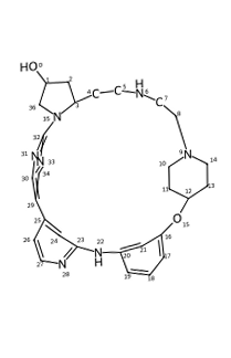 OC1CC2CCNCCN3CCC(CC3)Oc3cccc(c3)Nc3cc(ccn3)-c3cnc(nc3)N2C1